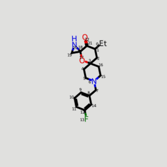 CCC1CC2(CCN(Cc3cccc(F)c3)CC2)OC2(CN2)C1=O